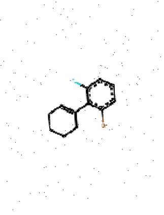 Fc1cccc(Br)c1C1=CCCCC1